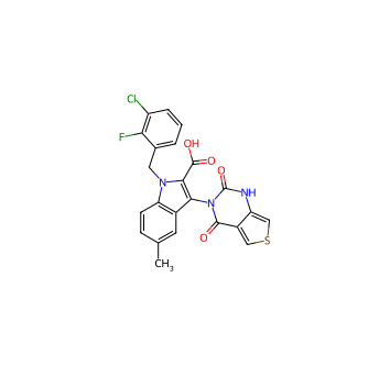 Cc1ccc2c(c1)c(-n1c(=O)[nH]c3cscc3c1=O)c(C(=O)O)n2Cc1cccc(Cl)c1F